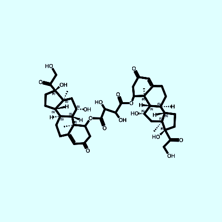 C[C@]12C[C@H](O)[C@H]3[C@@H](CCC4=CC(=O)CC(OC(=O)C(O)C(O)C(=O)OC5CC(=O)C=C6CC[C@@H]7[C@H]([C@@H](O)C[C@@]8(C)[C@H]7CC[C@]8(O)C(=O)CO)[C@]65C)[C@@]43C)[C@@H]1CC[C@]2(O)C(=O)CO